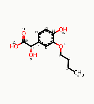 CCCCOc1cc([C@@H](O)C(=O)O)ccc1O